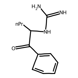 CCC[C](NC(=N)N)C(=O)c1ccccc1